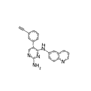 C#Cc1cccc(-c2cnc(N)nc2Nc2ccc3ncccc3c2)c1